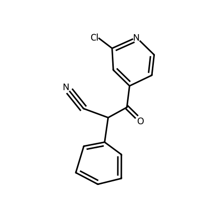 N#CC(C(=O)c1ccnc(Cl)c1)c1ccccc1